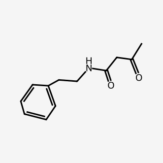 CC(=O)CC(=O)NCCc1ccccc1